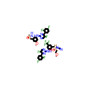 COCC[SH](O)(Cc1cc(Nc2ncc(F)c(-c3ccc(F)cc3F)n2)cc(C(F)(F)F)c1)=NC#N.COc1cc(CS(C)(=N)=O)cc(Nc2ncc(F)c(-c3ccc(F)cc3F)n2)c1